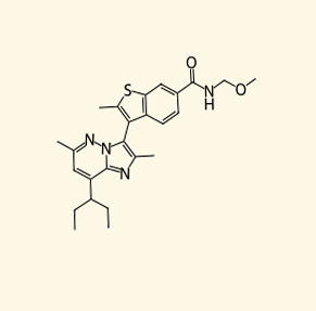 CCC(CC)c1cc(C)nn2c(-c3c(C)sc4cc(C(=O)NCOC)ccc34)c(C)nc12